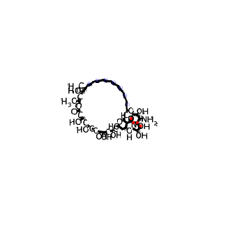 C[C@H]1C[C@H](O)[C@@H](C)/C=C/C=C/C=C/C=C/C=C/C=C/C=C/C(O[C@@H]2OC[C@@H](O)[C@H](N)[C@@H]2O)C[C@@H]2OC(O)(CC(O)C[C@@H](O)C(O)CCC(O)C[C@@H](O)CC(=O)O1)C[C@H](O)C2C(=O)N1CC[C@H](O)C1